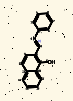 Oc1c(/C=N/c2ccccc2)ccc2ccccc12